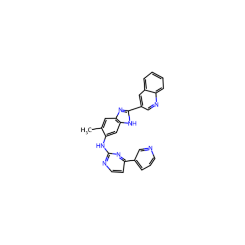 Cc1cc2nc(-c3cnc4ccccc4c3)[nH]c2cc1Nc1nccc(-c2cccnc2)n1